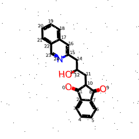 O=C1c2ccccc2C(=O)C1CC(O)Cc1cc2ccccc2cn1